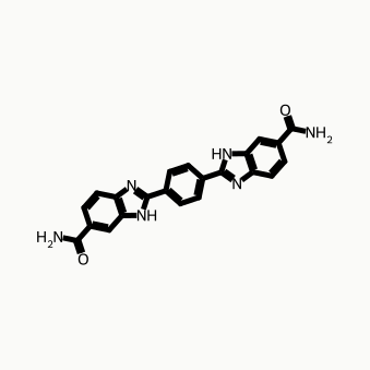 NC(=O)c1ccc2nc(-c3ccc(-c4nc5ccc(C(N)=O)cc5[nH]4)cc3)[nH]c2c1